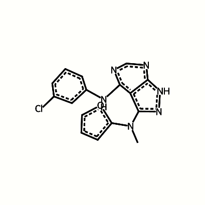 CN(c1ccco1)c1n[nH]c2ncnc(Nc3cccc(Cl)c3)c12